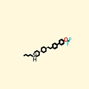 CCCCC[SiH]1CCC([C@H]2CC[C@H](CCc3ccc(-c4ccc(OC(F)F)cc4)cc3)CC2)CC1